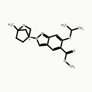 COC(=O)c1cc2cn([C@@]34CCC(C)(C3)OC4)nc2cc1OC(C)C